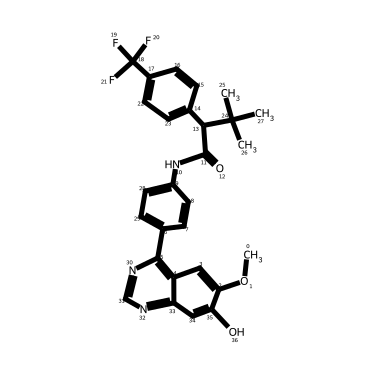 COc1cc2c(-c3ccc(NC(=O)C(c4ccc(C(F)(F)F)cc4)C(C)(C)C)cc3)ncnc2cc1O